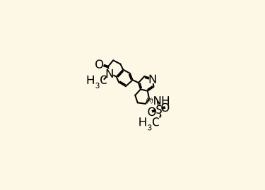 CCS(=O)(=O)N[C@@H]1CCCc2c(-c3ccc4c(c3)CCC(=O)N4C)cncc21